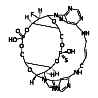 O=P1(O)OCC2O[C@@H]3[C@H](F)[C@@H]2O[P@@](O)(=S)OCC2OC([C@H](F)[C@@H]2O1)n1cnc2c(ncnc21)NC/C=C/CNc1ncnc2c1ncn23